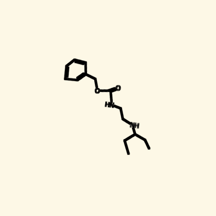 CCC(CC)NCCNC(=O)OCc1ccccc1